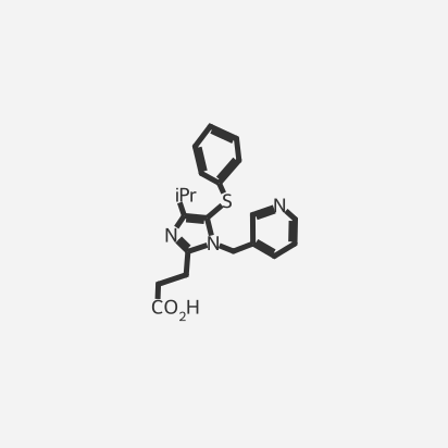 CC(C)c1nc(CCC(=O)O)n(Cc2cccnc2)c1Sc1ccccc1